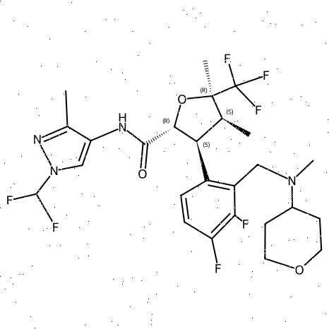 Cc1nn(C(F)F)cc1NC(=O)[C@@H]1O[C@@](C)(C(F)(F)F)[C@@H](C)[C@H]1c1ccc(F)c(F)c1CN(C)C1CCOCC1